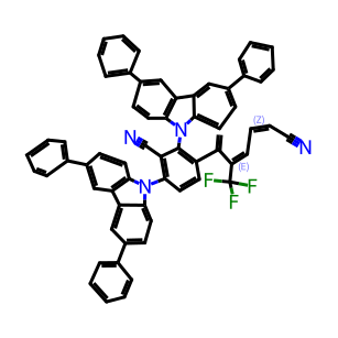 C=C(/C(=C\C=C/C#N)C(F)(F)F)c1ccc(-n2c3ccc(-c4ccccc4)cc3c3cc(-c4ccccc4)ccc32)c(C#N)c1-n1c2ccc(-c3ccccc3)cc2c2cc(-c3ccccc3)ccc21